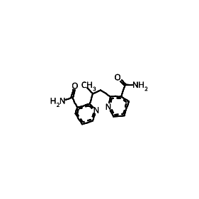 CC(Cc1ncccc1C(N)=O)c1ncccc1C(N)=O